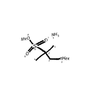 CCCCCCCC(C)(C)S(=O)(=O)OC.N